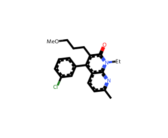 CCn1c(=O)c(CCCOC)c(-c2cccc(Cl)c2)c2ccc(C)nc21